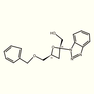 OC[C@@]1(n2nnc3ccccc32)C[C@@H](COCc2ccccc2)O1